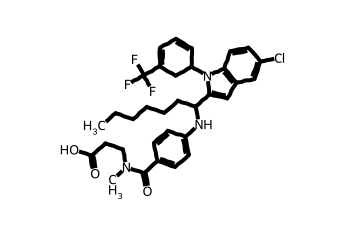 CCCCCCC(Nc1ccc(C(=O)N(C)CCC(=O)O)cc1)c1cc2cc(Cl)ccc2n1C1C=CC=C(C(F)(F)F)C1